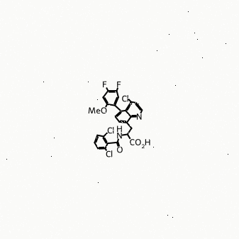 COc1cc(F)c(F)cc1-c1ccc(CC(NC(=O)c2c(Cl)cccc2Cl)C(=O)O)c2nccc(Cl)c12